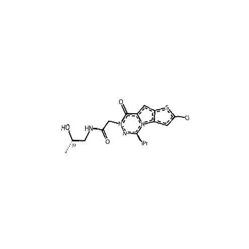 CC(C)c1nn(CC(=O)NC[C@H](C)O)c(=O)c2cc3sc(Cl)cc3n12